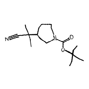 CC(C)(C)OC(=O)N1CCC(C(C)(C)C#N)C1